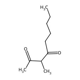 CCCCCC(=O)C(C)C(C)=O